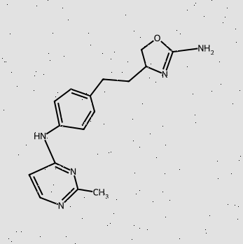 Cc1nccc(Nc2ccc(CCC3COC(N)=N3)cc2)n1